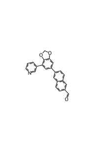 O=Cc1ccc2cc(-c3cc4c(c(-c5cccnc5)c3)OCO4)ccc2c1